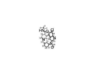 CC(C)(C)NC(=O)C1CCN(Cc2cccc(N(C=O)c3cnc4cc(Cl)ccc4c3)c2)CC1